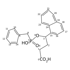 O=C(O)CCC(OP(=O)(O)Cc1ccccc1)c1cccc2ccccc12